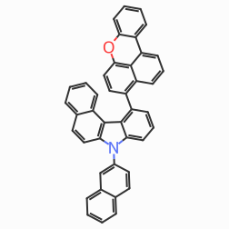 c1ccc2c(c1)Oc1ccc(-c3cccc4c3c3c5ccccc5ccc3n4-c3ccc4ccccc4c3)c3cccc-2c13